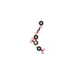 COC(=O)c1ccc(SC(/C=C\Cc2ccc(OCCCCOc3ccccc3)cc2)CCC(=O)O)cc1